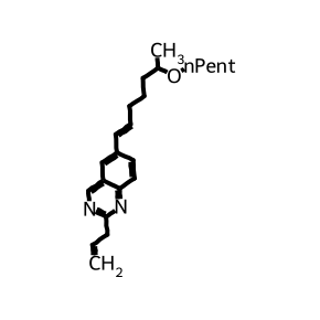 C=CCc1ncc2cc(/C=C/CCCC(C)OCCCCC)ccc2n1